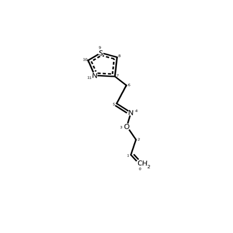 C=CCON=CCc1cs[c]n1